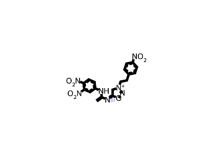 C=C(/N=C1\C[N+](CCc2ccc([N+](=O)[O-])cc2)=NO1)Nc1ccc([N+](=O)[O-])c([N+](=O)[O-])c1